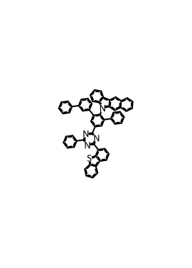 c1ccc(-c2cccc(-c3cc(-c4nc(-c5ccccc5)nc(-c5cccc6c5sc5ccccc56)n4)cc(-c4ccccc4)c3-n3c4ccccc4c4cc5ccccc5cc43)c2)cc1